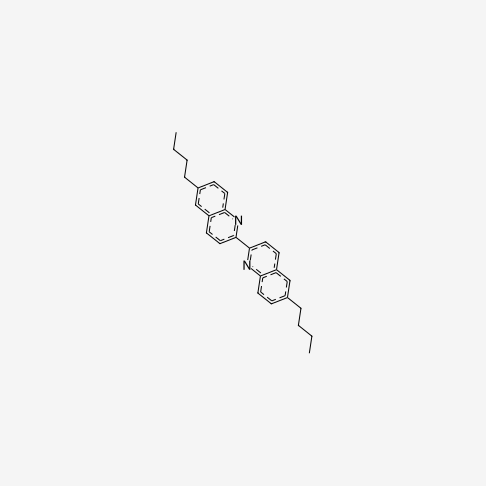 CCCCc1ccc2nc(-c3ccc4cc(CCCC)ccc4n3)ccc2c1